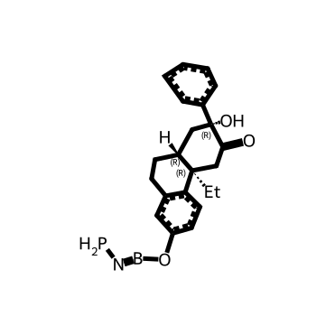 CC[C@@]12CC(=O)[C@](O)(c3ccccc3)C[C@H]1CCc1cc(OB=NP)ccc12